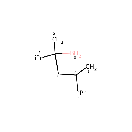 BC(C)(CC(C)CCC)C(C)C